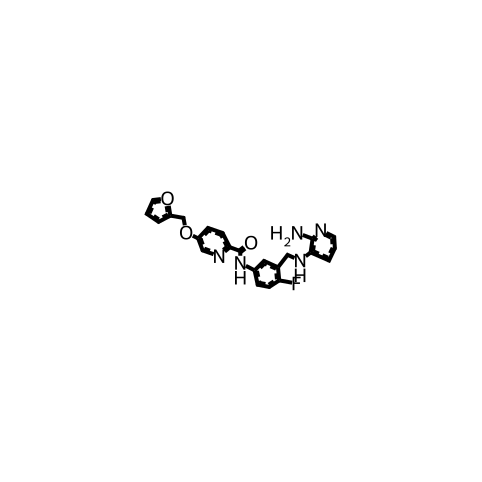 Nc1ncccc1NCc1cc(NC(=O)c2ccc(OCc3ccco3)cn2)ccc1F